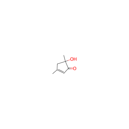 CC1=CC(=O)C(C)(O)C1